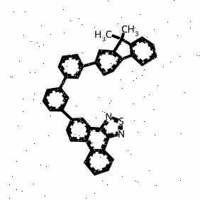 CC1(C)c2ccccc2-c2ccc(-c3cccc(-c4cccc(-c5ccc6c7ccccc7c7nsnc7c6c5)c4)c3)cc21